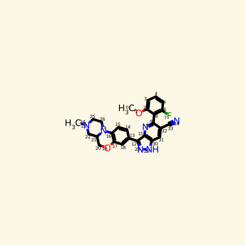 COc1cccc(F)c1-c1nc2c(-c3ccc4c(c3)OCC3CN(C)CCN43)n[nH]c2cc1C#N